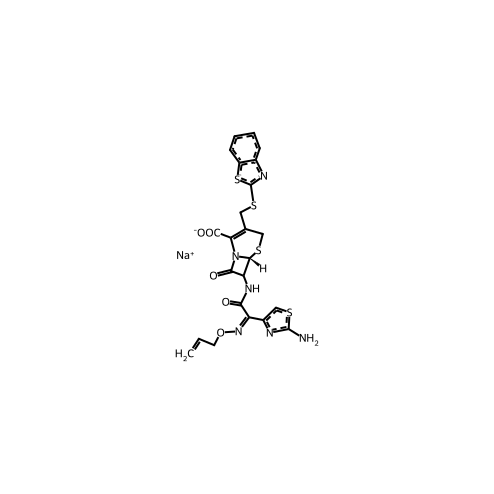 C=CCO/N=C(\C(=O)NC1C(=O)N2C(C(=O)[O-])=C(CSc3nc4ccccc4s3)CS[C@H]12)c1csc(N)n1.[Na+]